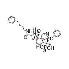 O=C(NCCCCc1ccccc1)C(Cc1ccc(C(F)(F)P(=O)(O)O)cc1)NS(=O)(=O)c1ccc(Oc2ccccc2)nc1